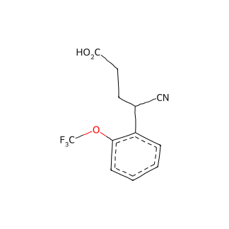 N#CC(CCC(=O)O)c1ccccc1OC(F)(F)F